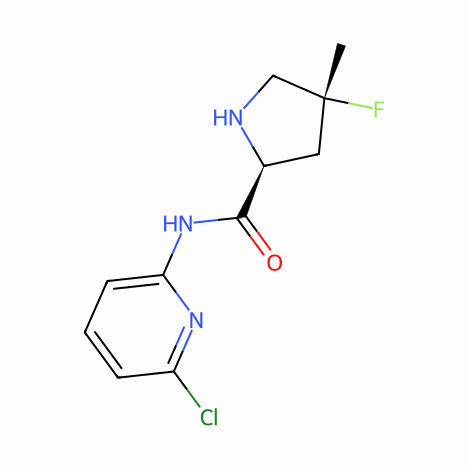 C[C@]1(F)CN[C@H](C(=O)Nc2cccc(Cl)n2)C1